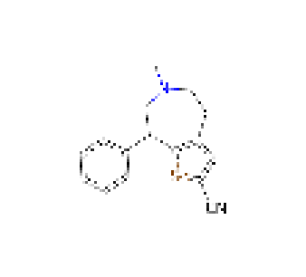 CN1CCc2cc(C#N)sc2C(c2ccccc2)C1